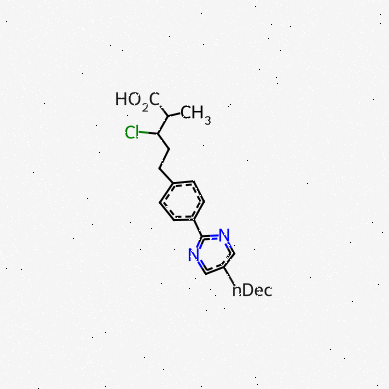 CCCCCCCCCCc1cnc(-c2ccc(CCC(Cl)C(C)C(=O)O)cc2)nc1